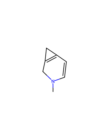 CN1C=CC2=C(C2)C1